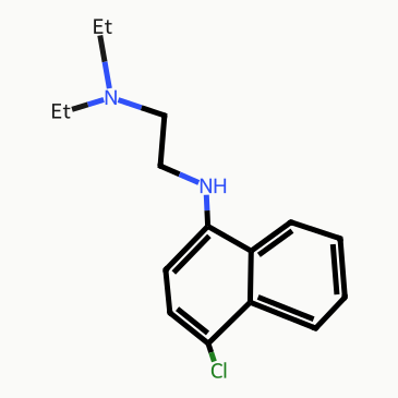 CCN(CC)CCNc1ccc(Cl)c2ccccc12